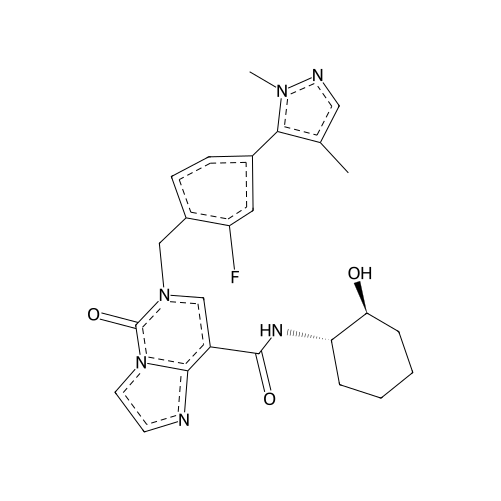 Cc1cnn(C)c1-c1ccc(Cn2cc(C(=O)N[C@H]3CCCC[C@@H]3O)c3nccn3c2=O)c(F)c1